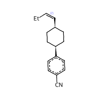 CC/C=C\[C@H]1CC[C@@H](c2ccc(C#N)cc2)CC1